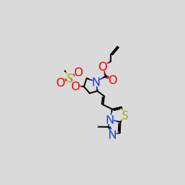 C=CCOC(=O)N1CC(OS(C)(=O)=O)CC1/C=C/c1csc2cnc(C)n12